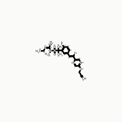 C#CCOc1cnc(/C(F)=C/c2ccc(F)c(C(C)(C)S(=O)(=O)N(C)/C(N)=N\CC)c2)cn1